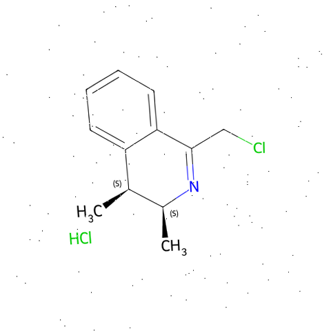 C[C@@H]1N=C(CCl)c2ccccc2[C@@H]1C.Cl